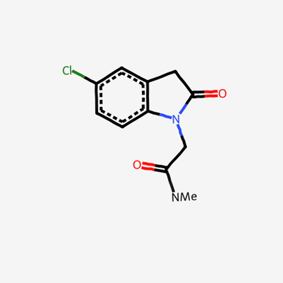 CNC(=O)CN1C(=O)Cc2cc(Cl)ccc21